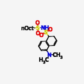 CCCCCCCCS(=O)(=O)NS(=O)(=O)C1CC=Cc2c1cccc2N(C)C